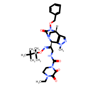 CCN1CCN(C(=O)NC/C(=N\O[Si](C)(C)C(C)(C)C)[C@@H]2c3c(cnn3C)[C@@H]3CN2C(=O)N3OCc2ccccc2)C(=O)C1=O